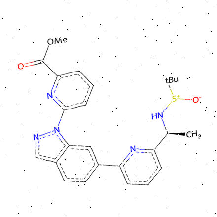 COC(=O)c1cccc(-n2ncc3ccc(-c4cccc([C@H](C)N[S+]([O-])C(C)(C)C)n4)cc32)n1